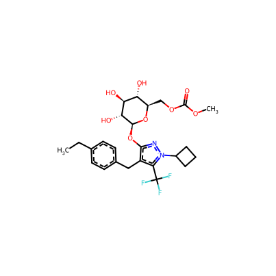 CCc1ccc(Cc2c(O[C@@H]3O[C@H](COC(=O)OC)[C@@H](O)[C@H](O)[C@H]3O)nn(C3CCC3)c2C(F)(F)F)cc1